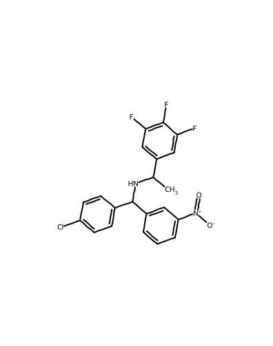 CC(NC(c1ccc(Cl)cc1)c1cccc([N+](=O)[O-])c1)c1cc(F)c(F)c(F)c1